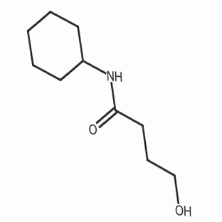 O=C(CCCO)NC1CCCCC1